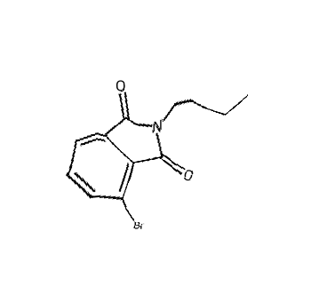 CCCN1C(=O)c2cccc(Br)c2C1=O